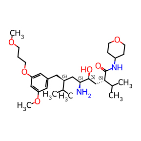 COCCCOc1cc(C[C@@H](C[C@H](N)[C@@H](O)C[C@H](C(=O)NC2CCOCC2)C(C)C)C(C)C)cc(OC)c1